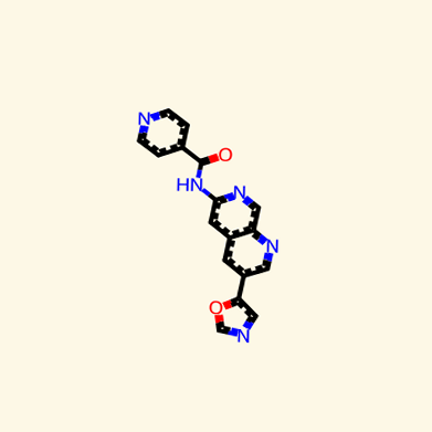 O=C(Nc1cc2cc(-c3cnco3)cnc2cn1)c1ccncc1